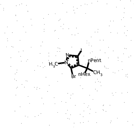 CCCCCCC(C)(CCCCC)c1c(I)nn(C)c1Br